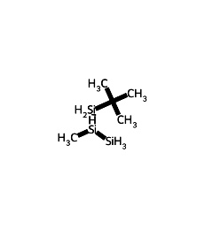 C[SiH]([SiH3])[SiH2]C(C)(C)C